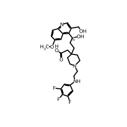 COc1ccc2ncc(CO)c([C@@H](O)CCC3(CC(=O)O)CCN(CCNc4cc(F)c(F)c(F)c4)CC3)c2c1